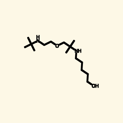 CC(C)(C)NCCOCC(C)(C)NCCCCCO